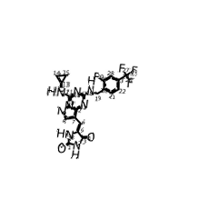 O=C1NC(=O)/C(=C/c2cnn3c(NC4CC4)nc(NCc4ccc(C(F)(F)F)cc4F)nc23)N1